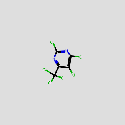 Clc1nc(Cl)c(Cl)c(C(Cl)(Cl)Cl)n1